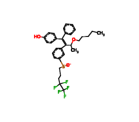 CCCCCOC(C)C(=C(c1ccccc1)c1ccc(O)cc1)c1cccc([S+]([O-])CCCC(F)(F)C(F)(F)F)c1